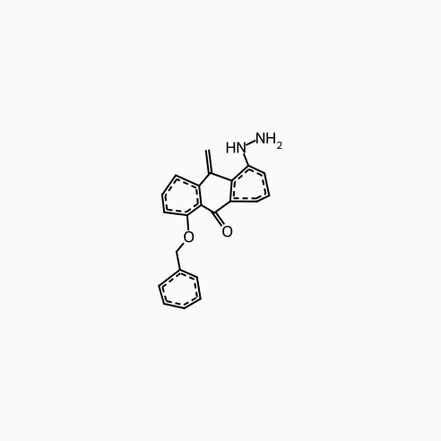 C=C1c2cccc(OCc3ccccc3)c2C(=O)c2cccc(NN)c21